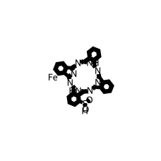 O=[SH](=O)c1cccc2c3nc4nc(nc5[nH]c(nc6nc(nc([nH]3)c12)-c1ccccc1-6)c1ccccc51)-c1ccccc1-4.[Fe]